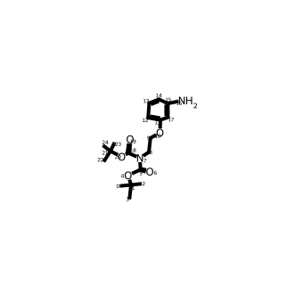 CC(C)(C)OC(=O)N(CCOc1cccc(N)c1)C(=O)OC(C)(C)C